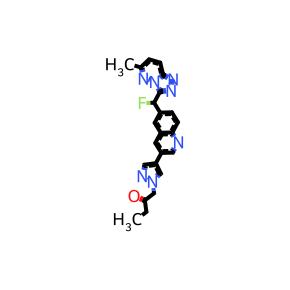 CCC(=O)Cn1cc(-c2cnc3ccc(C(F)c4nnc5ccc(C)nn45)cc3c2)cn1